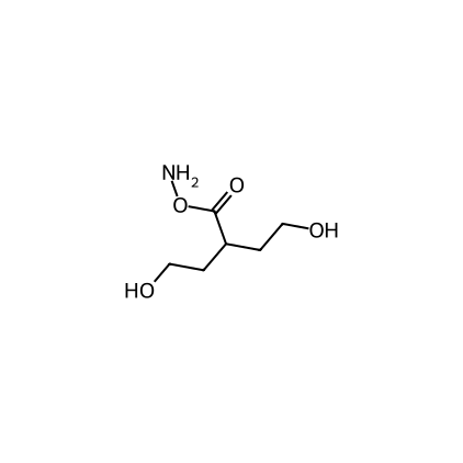 NOC(=O)C(CCO)CCO